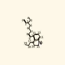 C=CC(CC)CCC/C=C\c1cccc2c1C(CCC)CC=N2